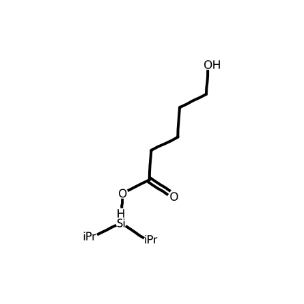 CC(C)[SiH](OC(=O)CCCCO)C(C)C